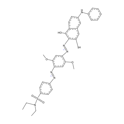 CCN(CC)S(=O)(=O)c1ccc(/N=N/c2cc(OC)c(/N=N/c3c(S)cc4cc(Nc5ccccc5)ccc4c3O)cc2OC)cc1